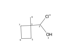 CC1(C(O)Cl)CCC1